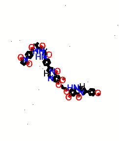 COc1ccc(C2=CN3C(=O)c4cc(OC)c(OCCCOc5cc6c(cc5OC)C(=O)N5C=C(c7ccc(NC(=O)[C@H](C)NC(=O)[C@@H](NC(=O)c8ccc(N9C(=O)C=CC9=O)cc8)C(C)C)cc7)C[C@H]5C=N6)cc4NC[C@@H]3C2)cc1